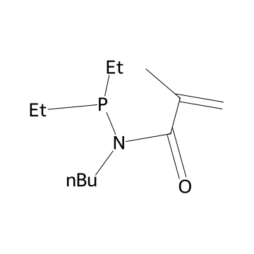 C=C(C)C(=O)N(CCCC)P(CC)CC